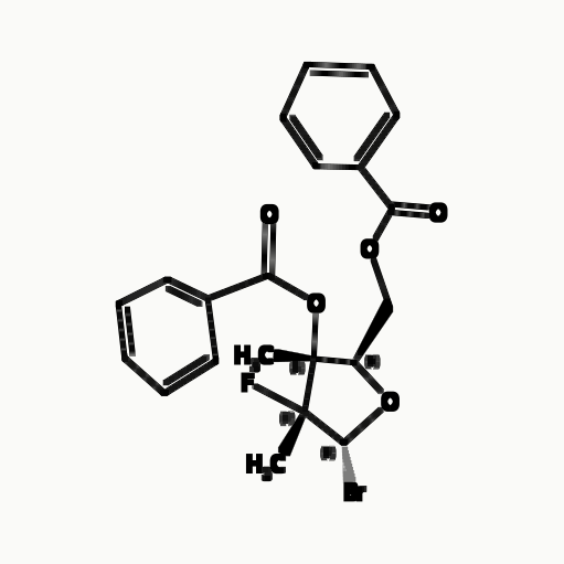 C[C@]1(F)[C@@H](Br)O[C@H](COC(=O)c2ccccc2)[C@@]1(C)OC(=O)c1ccccc1